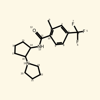 Cc1cc(C(F)(F)F)ccc1C(=O)NC1CCCC1N1CCCC1